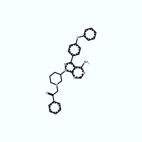 Nc1ncnc2c1c(-c1ccc(Oc3ccccc3)cc1)nn2C1CCCN(CC(=O)c2ccccc2)C1